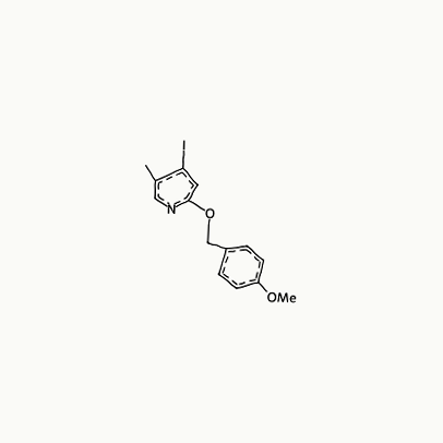 COc1ccc(COc2cc(I)c(C)cn2)cc1